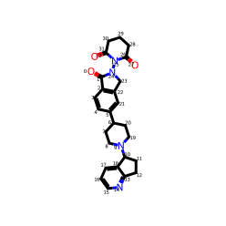 O=C1c2ccc(C3CCN(C4CCc5ncccc54)CC3)cc2CN1N1C(=O)CCCC1=O